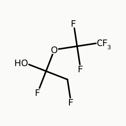 OC(F)(CF)OC(F)(F)C(F)(F)F